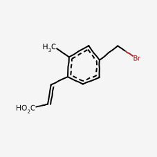 Cc1cc(CBr)ccc1/C=C/C(=O)O